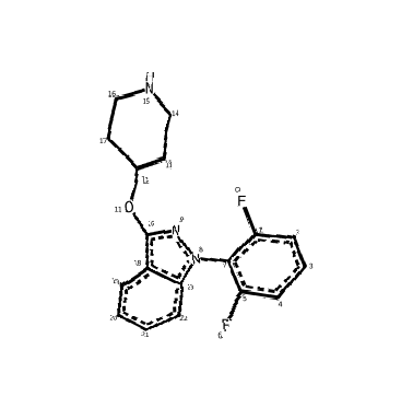 Fc1cccc(F)c1-n1nc(OC2CCNCC2)c2ccccc21